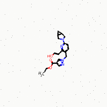 CCOC(=O)c1cnn(Cc2ccc(N3CC4CC4C3)nc2CCO)c1